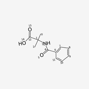 CC(C)(NC(=O)c1ccccc1)C(=O)O